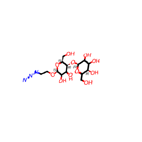 [N-]=[N+]=NCCO[C@H]1O[C@@H](CO)[C@H](O[C@@H]2OC(CO)[C@H](O)C(O)C2O)C(O)C1O